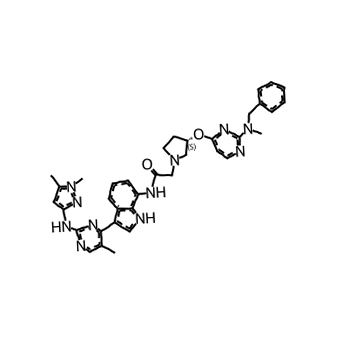 Cc1cnc(Nc2cc(C)n(C)n2)nc1-c1c[nH]c2c(NC(=O)CN3CC[C@H](Oc4ccnc(N(C)Cc5ccccc5)n4)C3)cccc12